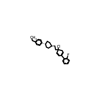 CCc1ccc([C@H]2CC[C@H](CCC3(Cl)C=CC(c4ccccc4F)=CC3)CC2)cc1